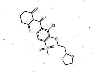 CS(=O)(=O)c1ccc(C(=O)C2C(=O)CCCC2=O)c(Cl)c1OCCC1OCCO1